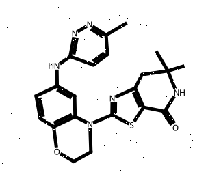 Cc1ccc(Nc2ccc3c(c2)N(c2nc4c(s2)C(=O)NC(C)(C)C4)CCO3)nn1